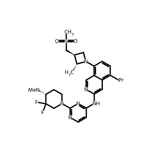 CN[C@@H]1CCN(c2nccc(Nc3cc4c(C(C)C)ccc(N5C[C@H](CS(C)(=O)=O)[C@H]5C)c4cn3)n2)CC1(F)F